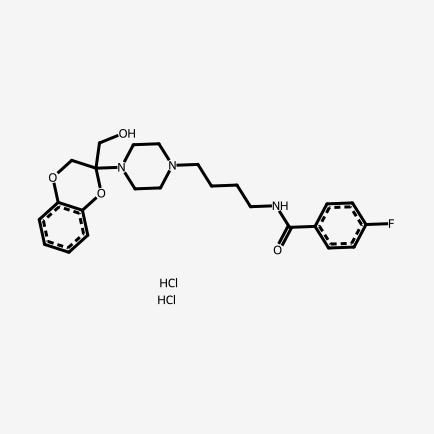 Cl.Cl.O=C(NCCCCN1CCN(C2(CO)COc3ccccc3O2)CC1)c1ccc(F)cc1